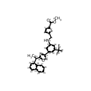 COC(=O)c1ccc(CNc2cc(-c3noc(C(C)c4cccc5ccccc45)n3)cc(C(F)(F)F)c2)s1